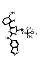 CC(C)(C)ONc1nc(Nc2ccc3sncc3c2)nc(C2=C(F)C(O)CCC2)n1